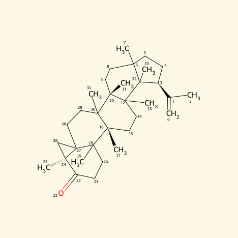 C=C(C)[C@@H]1CCC2(C)CC[C@]3(C)C(C)(CC[C@]4(C)C5(C)CCC(=O)[C@@]6(C)CC56CCC34C)C12C